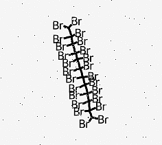 Br[C](Br)C(Br)(Br)C(Br)(Br)C(Br)(Br)C(Br)(Br)C(Br)(Br)C(Br)(Br)C(Br)(Br)C(Br)(Br)C(Br)(Br)C(Br)(Br)[C](Br)Br